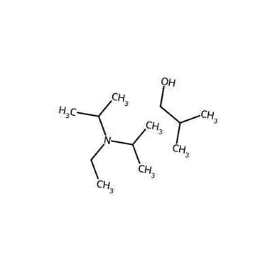 CC(C)CO.CCN(C(C)C)C(C)C